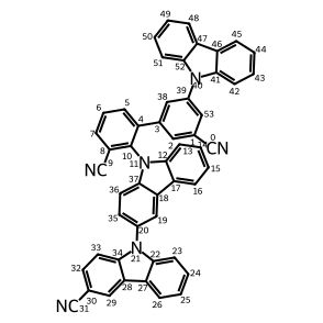 N#Cc1cc(-c2cccc(C#N)c2-n2c3ccccc3c3cc(-n4c5ccccc5c5cc(C#N)ccc54)ccc32)cc(-n2c3ccccc3c3ccccc32)c1